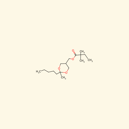 CCCCCC1(C)OCC(COC(=O)C(C)(C)CC)CO1